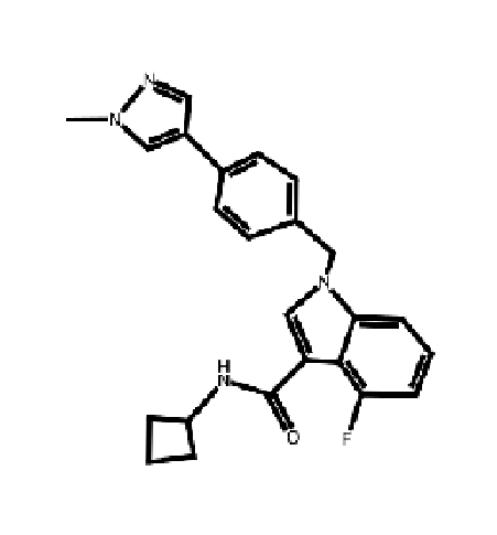 Cn1cc(-c2ccc(Cn3cc(C(=O)NC4CCC4)c4c(F)cccc43)cc2)cn1